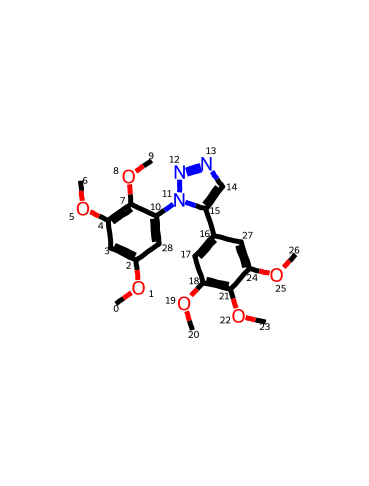 COc1cc(OC)c(OC)c(-n2nncc2-c2cc(OC)c(OC)c(OC)c2)c1